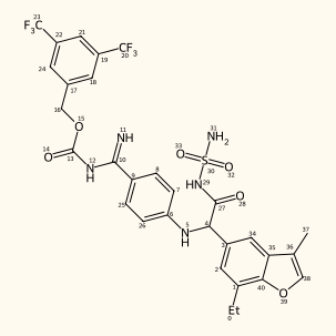 CCc1cc(C(Nc2ccc(C(=N)NC(=O)OCc3cc(C(F)(F)F)cc(C(F)(F)F)c3)cc2)C(=O)NS(N)(=O)=O)cc2c(C)coc12